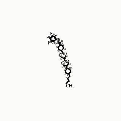 CCCCCC1CCC(C2COC(C3COC(C4CCC(C(F)(F)Oc5cc(F)c(F)c(F)c5)CC4)OC3)OC2)CC1